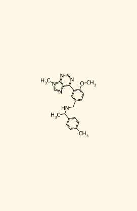 COc1ccc(CN[C@H](C)c2ccc(C)cc2)cc1-c1ncnc2c1ncn2C